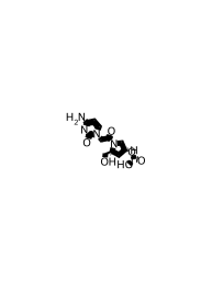 Nc1ccn(CC(=O)N2C[C@H](O[PH](=O)O)C[C@H]2CO)c(=O)n1